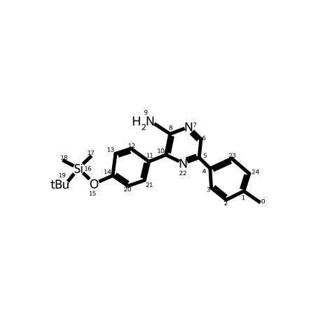 Cc1ccc(-c2cnc(N)c(-c3ccc(O[Si](C)(C)C(C)(C)C)cc3)n2)cc1